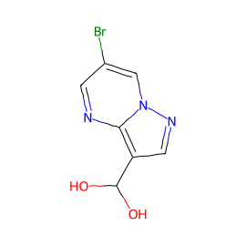 OC(O)c1cnn2cc(Br)cnc12